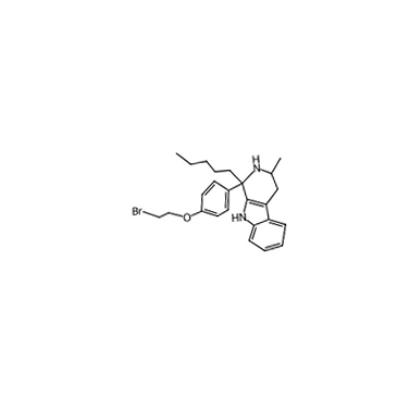 CCCCCC1(c2ccc(OCCBr)cc2)NC(C)Cc2c1[nH]c1ccccc21